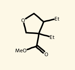 CCC1COCC1(CC)C(=O)OC